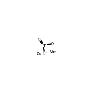 O=[N+]([O-])[O-].[Cu+].[Mn]